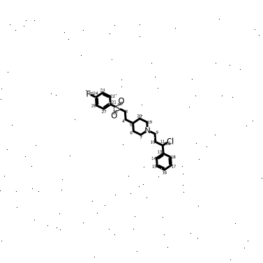 O=S(=O)(CCC1CCN(CCC(Cl)c2ccccc2)CC1)c1ccc(F)cc1